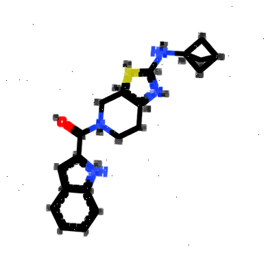 O=C(c1cc2ccccc2[nH]1)N1CCc2nc(NC34CC(C3)C4)sc2C1